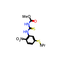 CCCSc1ccc([N+](=O)[O-])c(NC(=S)NC(=O)OC)c1